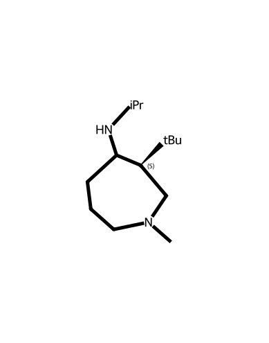 CC(C)NC1CCCN(C)C[C@@H]1C(C)(C)C